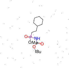 COP(=O)(CCC1CCCCC1)NC(=O)OC(C)(C)C